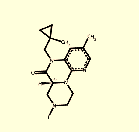 Cc1cnc2c(c1)N(CC1(C)CC1)C(=O)[C@H]1CN(I)CCN21